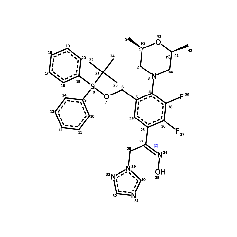 C[C@@H]1CN(c2c(CO[Si](c3ccccc3)(c3ccccc3)C(C)(C)C)cc(/C(Cn3cncn3)=N/O)c(F)c2F)C[C@H](C)O1